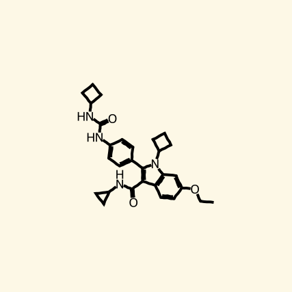 CCOc1ccc2c(C(=O)NC3CC3)c(-c3ccc(NC(=O)NC4CCC4)cc3)n(C3CCC3)c2c1